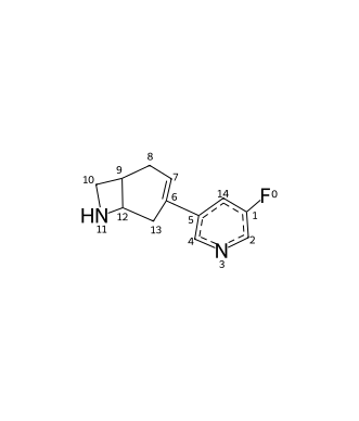 Fc1cncc(C2=CCC3CNC3C2)c1